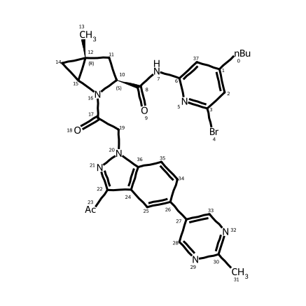 CCCCc1cc(Br)nc(NC(=O)[C@@H]2C[C@@]3(C)CC3N2C(=O)Cn2nc(C(C)=O)c3cc(-c4cnc(C)nc4)ccc32)c1